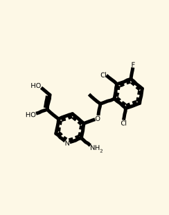 CC(Oc1cc(C(O)=CO)cnc1N)c1c(Cl)ccc(F)c1Cl